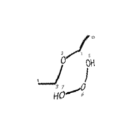 CCOCC.OOO